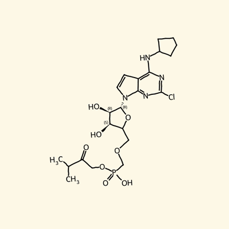 CC(C)C(=O)COP(=O)(O)COCC1O[C@@H](n2ccc3c(NC4CCCC4)nc(Cl)nc32)[C@H](O)[C@@H]1O